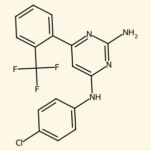 Nc1nc(Nc2ccc(Cl)cc2)cc(-c2ccccc2C(F)(F)F)n1